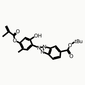 C=C(C)C(=O)Oc1cc(O)c(-n2n3c4ccc(C(=O)OC(C)(C)C)cc4n23)cc1C